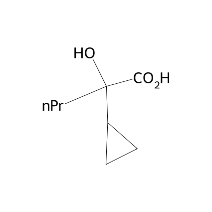 CCCC(O)(C(=O)O)C1CC1